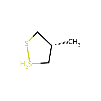 C[C@H]1CS[SH2]C1